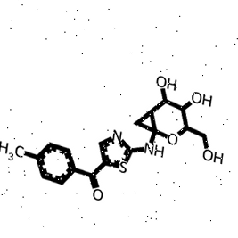 Cc1ccc(C(=O)c2cnc(NC34CC3C(O)C(O)C(CO)O4)s2)cc1